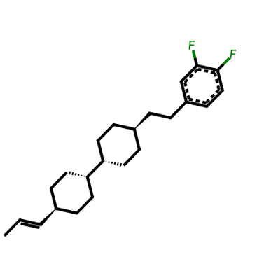 CC=C[C@H]1CC[C@H]([C@H]2CC[C@H](CCc3ccc(F)c(F)c3)CC2)CC1